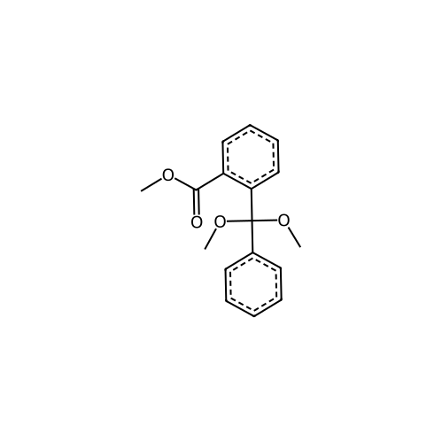 COC(=O)c1ccccc1C(OC)(OC)c1ccccc1